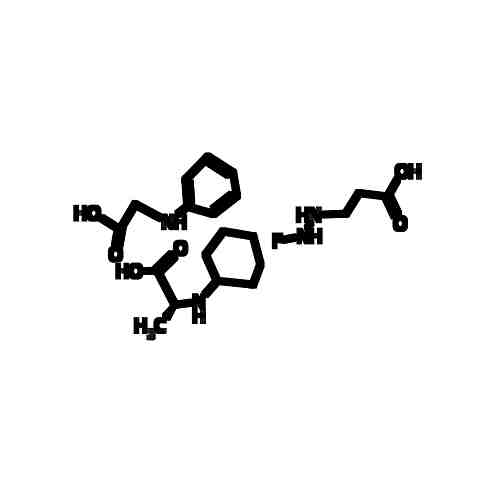 C[C@H](NC1CCCCC1)C(=O)O.O=C(O)CCNNF.O=C(O)CNc1ccccc1